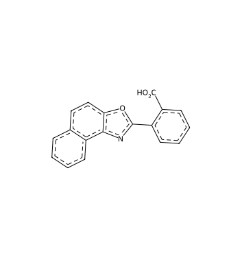 O=C(O)c1ccccc1-c1nc2c(ccc3ccccc32)o1